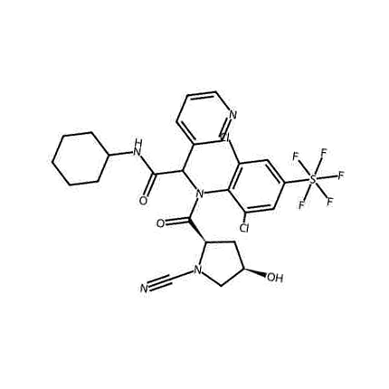 N#CN1C[C@H](O)C[C@@H]1C(=O)N(c1c(Cl)cc(S(F)(F)(F)(F)F)cc1Cl)C(C(=O)NC1CCCCC1)c1cccnc1